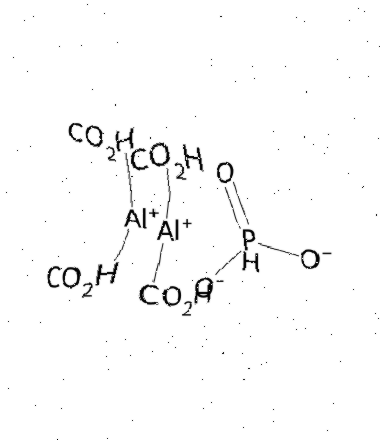 O=[C](O)[Al+][C](=O)O.O=[C](O)[Al+][C](=O)O.O=[PH]([O-])[O-]